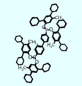 Cc1cc(OP(Oc2cc(C)c(C3CCCCC3)cc2C2CCCCC2)c2ccc(-c3ccc(P(Oc4cc(C)c(C5CCCCC5)cc4C4CCCCC4)Oc4cc(C)c(C5CCCCC5)cc4C4CCCCC4)cc3)cc2)c(C2CCCCC2)cc1C1CCCCC1